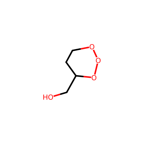 OCC1CCOOO1